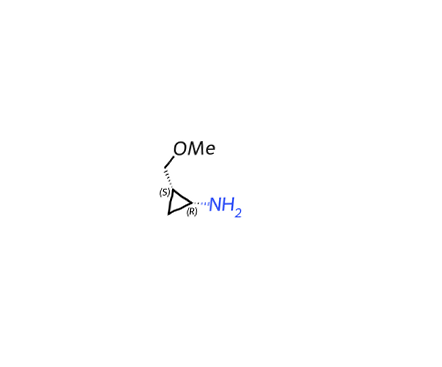 [CH2-][OH+]C[C@H]1C[C@H]1N